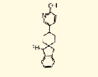 [2H]C1c2ccccc2CC12CCC(c1ccc(O)nc1)CC2